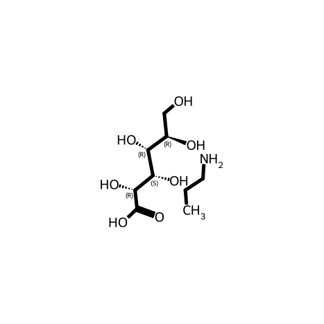 CCCN.O=C(O)[C@H](O)[C@@H](O)[C@H](O)[C@H](O)CO